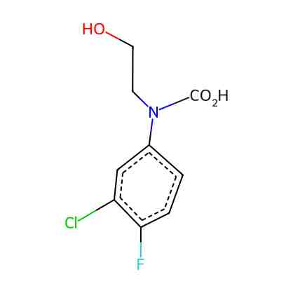 O=C(O)N(CCO)c1ccc(F)c(Cl)c1